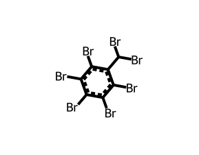 Brc1c(Br)c(Br)c(C(Br)Br)c(Br)c1Br